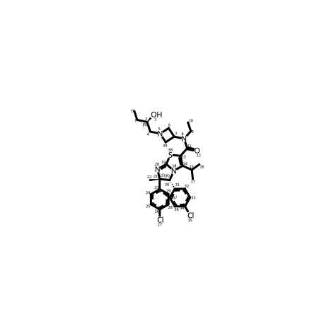 CC[C@@H](O)CN1CC(N(CC)C(=O)C2=C(C(C)C)N3C(=N[C@@](C)(c4ccc(Cl)cc4)[C@H]3c3ccc(Cl)cc3)S2)C1